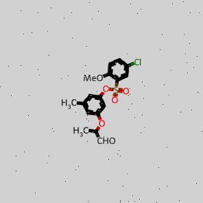 COc1ccc(Cl)cc1S(=O)(=O)Oc1cc(C)cc(OC(C)C=O)c1